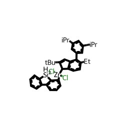 CCc1ccc2c(c1-c1cc(C(C)C)cc(C(C)C)c1)C=C(C(C)(C)C)[CH]2[Zr]([Cl])([Cl])[c]1cccc2c1[SiH2]c1ccccc1-2